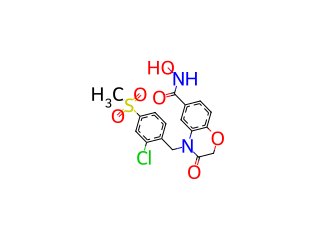 CS(=O)(=O)c1ccc(CN2C(=O)COc3ccc(C(=O)NO)cc32)c(Cl)c1